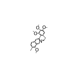 COc1cc2c(c(OC)c1OC)-c1cc3ccc(C)c(OC)c3c[n+]1CC2